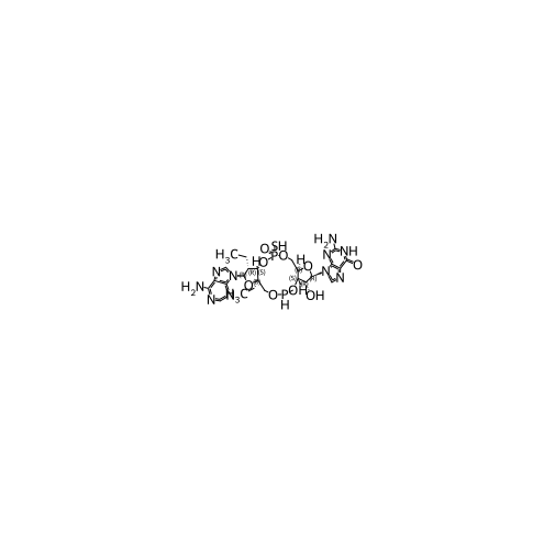 CC[C@H]1[C@H](n2cnc3c(N)ncnc32)O[C@]2(CC)COPO[C@H]3[C@@H](O)[C@H](n4cnc5c(=O)[nH]c(N)nc54)O[C@@H]3COP(=O)(S)O[C@@H]12